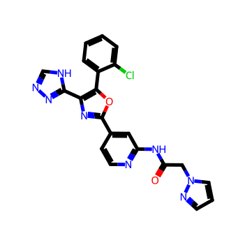 O=C(Cn1cccn1)Nc1cc(-c2nc(-c3nnc[nH]3)c(-c3ccccc3Cl)o2)ccn1